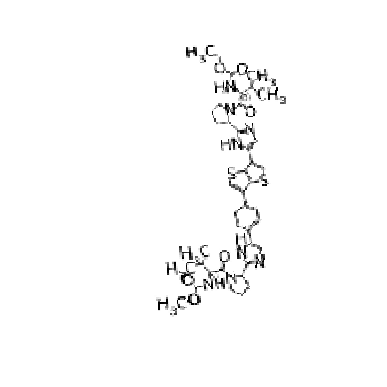 CCOC(=O)N[C@H](C(=O)N1CCCC1c1ncc(-c2csc3c(-c4ccc(-c5cnc(C6CCCN6C(=O)[C@@H](NC(=O)OC)C(C)C)[nH]5)cc4)csc23)[nH]1)C(C)C